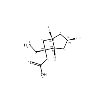 NC[C@@]1(CC(=O)O)C[C@@H]2C[C@@H](F)C[C@@H]21